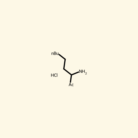 CCCCCCC(N)C(C)=O.Cl